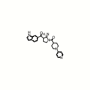 NC1C(C(=O)c2ccc3cc[nH]c3c2)CCN1C(=O)C1CCN(c2ccncc2)CC1